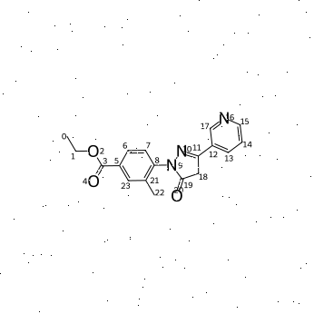 CCOC(=O)c1ccc(N2N=C(c3cccnc3)CC2=O)c(C)c1